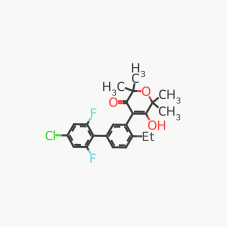 CCc1ccc(-c2c(F)cc(Cl)cc2F)cc1C1=C(O)C(C)(C)OC(C)(C)C1=O